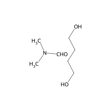 CN(C)C=O.OCCCCO